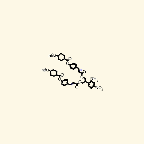 CCCCC1CCC(C(=O)Oc2ccc(/C=C/C(=O)OCC(COC(=O)/C=C/c3ccc(OC(=O)C4CCC(CCCC)CC4)cc3)c3ccc([N+](=O)[O-])cc3N)cc2)CC1